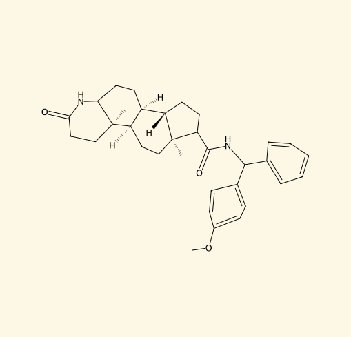 COc1ccc(C(NC(=O)C2CC[C@H]3[C@@H]4CCC5NC(=O)CC[C@]5(C)[C@@H]4CC[C@]23C)c2ccccc2)cc1